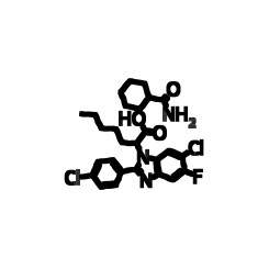 CCCCCC(C(=O)O)n1c(-c2ccc(Cl)cc2)nc2cc(F)c(Cl)cc21.NC(=O)C1CCCCC1